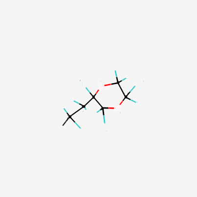 FC(F)(F)C(F)(F)C(F)(F)C1(F)OC(F)(F)C(F)(F)OC1(F)F